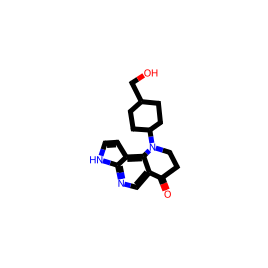 O=C1CCN(C2CCC(CO)CC2)c2c1cnc1[nH]ccc21